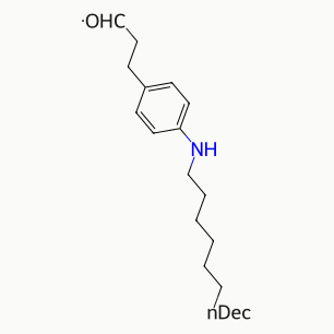 CCCCCCCCCCCCCCCCNc1ccc(CC[C]=O)cc1